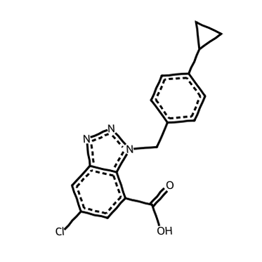 O=C(O)c1cc(Cl)cc2nnn(Cc3ccc(C4CC4)cc3)c12